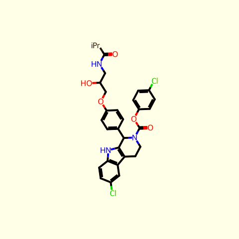 CC(C)C(=O)NCC(O)COc1ccc(C2c3[nH]c4ccc(Cl)cc4c3CCN2C(=O)Oc2ccc(Cl)cc2)cc1